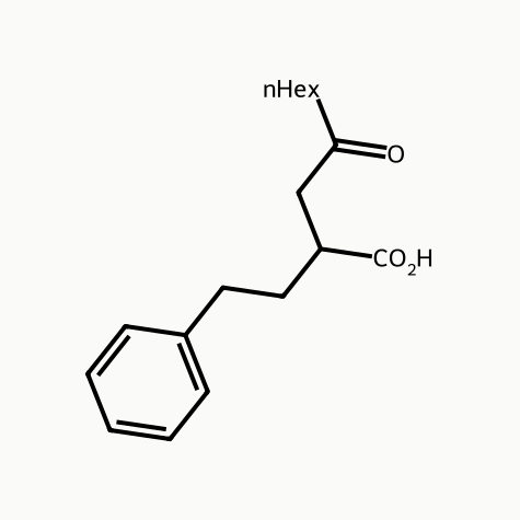 CCCCCCC(=O)CC(CCc1ccccc1)C(=O)O